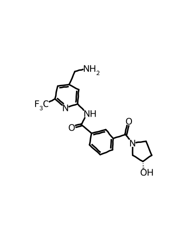 NCc1cc(NC(=O)c2cccc(C(=O)N3CC[C@H](O)C3)c2)nc(C(F)(F)F)c1